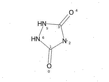 O=C1[N]C(=O)NN1